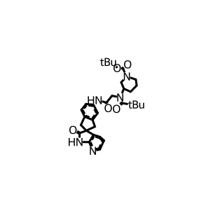 CC(C)(C)OC(=O)N1CCCC(N(CC(=O)Nc2ccc3c(c2)CC2(C3)C(=O)Nc3ncccc32)C(=O)C(C)(C)C)C1